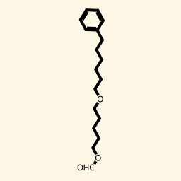 O=COCCCCCOCCCCCCc1ccccc1